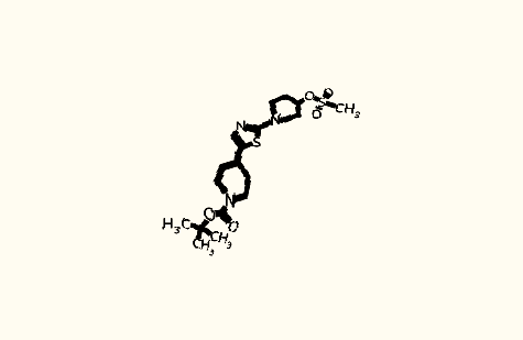 CC(C)(C)OC(=O)N1CCC(c2cnc(N3CCC(OS(C)(=O)=O)CC3)s2)CC1